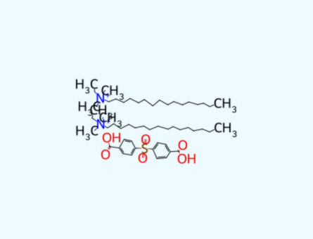 CCCCCCCCCCCCCCCC[N+](C)(C)CC.CCCCCCCCCCCCCCCC[N+](C)(C)CC.O=C(O)c1ccc(S(=O)(=O)c2ccc(C(=O)O)cc2)cc1